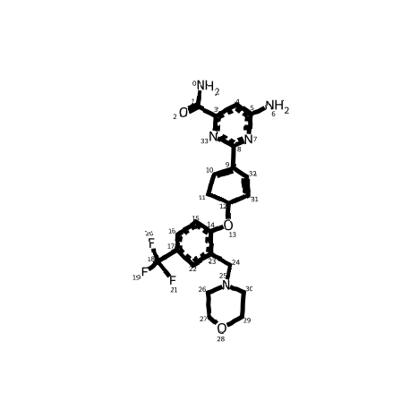 NC(=O)c1cc(N)nc(C2=CCC(Oc3ccc(C(F)(F)F)cc3CN3CCOCC3)C=C2)n1